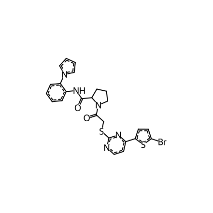 O=C(Nc1ccccc1-n1cccc1)C1CCCN1C(=O)CSc1nccc(-c2ccc(Br)s2)n1